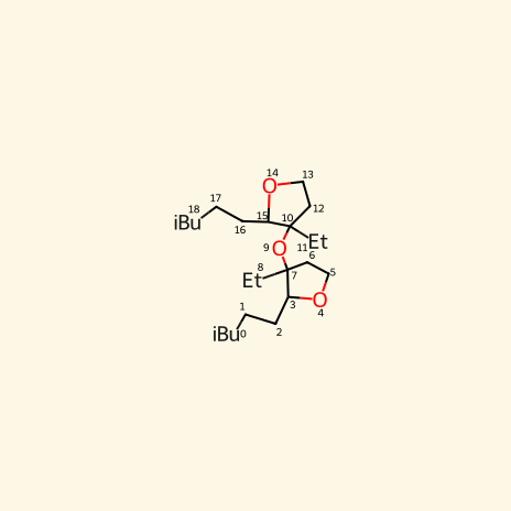 CCC(C)CCC1OCCC1(CC)OC1(CC)CCOC1CCC(C)CC